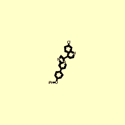 CC(C)Oc1ccc(-c2ccn3c(-c4ccnc5cc(Cl)ccc45)cnc3c2)cc1